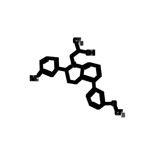 N#Cc1cccc(C2CCc3c(-c4cccc(OC(F)(F)F)c4)cccc3N2CC(O)C(F)(F)F)c1